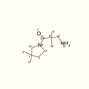 CC1(C)CCN(C(=O)C(C)(C)CN)C1